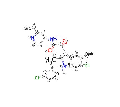 COc1cc(NC(=O)C(=O)c2c(C)n(Cc3ccc(Cl)cc3)c3cc(Cl)c(OC)cc23)ccn1